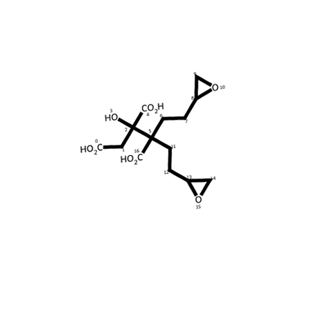 O=C(O)CC(O)(C(=O)O)C(CCC1CO1)(CCC1CO1)C(=O)O